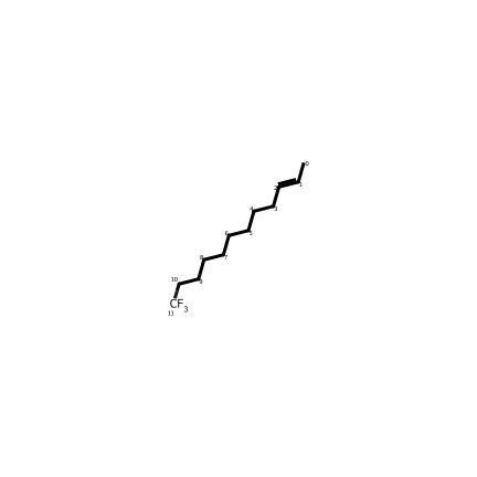 C/C=C/CCCCCCCCC(F)(F)F